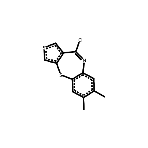 Cc1cc2c(cc1C)Sc1cscc1C(Cl)=N2